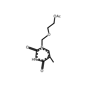 CC(=O)OCCOCn1cc(C)c(=O)[nH]c1=O